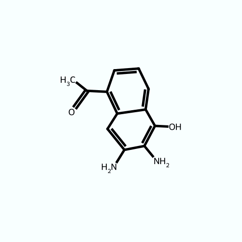 CC(=O)c1cccc2c(O)c(N)c(N)cc12